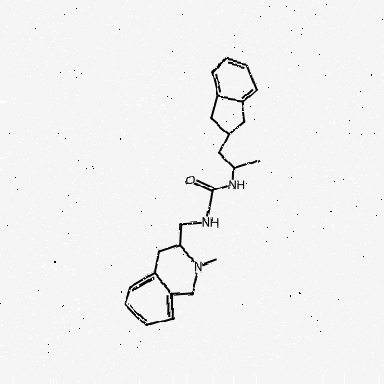 CC(CC1Cc2ccccc2C1)NC(=O)NCC1Cc2ccccc2CN1C